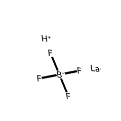 F[B-](F)(F)F.[H+].[La]